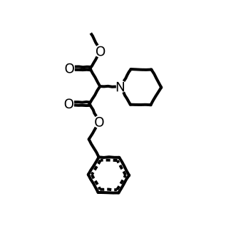 COC(=O)C(C(=O)OCc1ccccc1)N1CCCCC1